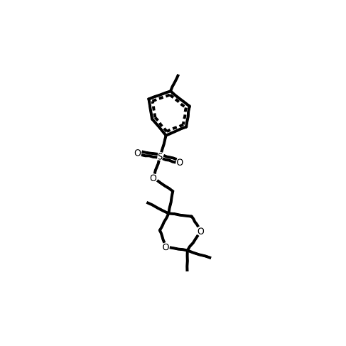 Cc1ccc(S(=O)(=O)OCC2(C)COC(C)(C)OC2)cc1